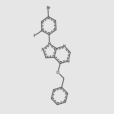 Fc1cc(Br)ccc1-n1ncc2c(OCc3ccccc3)ncnc21